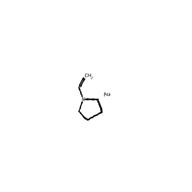 C=CN1CCCC1.[Au]